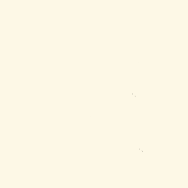 Clc1ccc(-c2cn(Cc3ccccc3Cl)c3c2CNCC3)cc1